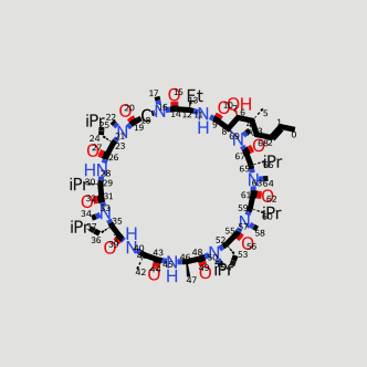 C/C=C/C[C@@H](C)[C@@H](O)[C@H]1C(=O)N[C@@H](CC)C(=O)N(C)CC(=O)N(C)[C@@H](CC(C)C)C(=O)N[C@@H](C(C)C)C(=O)N(C)[C@@H](CC(C)C)C(=O)N[C@@H](C)C(=O)N[C@H](C)C(=O)N(C)[C@@H](CC(C)C)C(=O)N(C)[C@@H](C(C)C)C(=O)N(C)[C@@H](C(C)C)C(=O)N1C